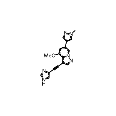 COc1cc(-c2cnn(C)c2)cn2ncc(C#Cc3c[nH]cn3)c12